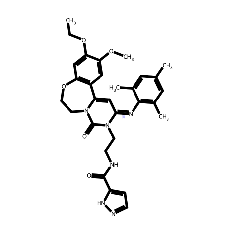 CCOc1cc2c(cc1OC)-c1c/c(=N\c3c(C)cc(C)cc3C)n(CCNC(=O)c3ccn[nH]3)c(=O)n1CCO2